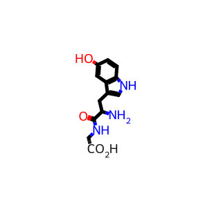 NC(Cc1c[nH]c2ccc(O)cc12)C(=O)NCC(=O)O